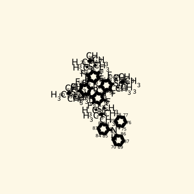 CC(C)(C)[Si](C)(C)c1c(F)c(F)c([B-](c2c(F)c(F)c([Si](C)(C)C(C)(C)C)c(F)c2F)(c2c(F)c(F)c([Si](C)(C)C(C)(C)C)c(F)c2F)c2c(F)c(F)c([Si](C)(C)C(C)(C)C)c(F)c2F)c(F)c1F.c1ccc([NH+](c2ccccc2)c2ccccc2)cc1